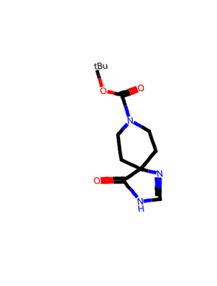 CC(C)(C)OC(=O)N1CCC2(CC1)N=CNC2=O